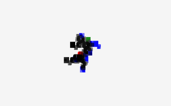 Cc1ccncc1-c1cc2cc(NC(=O)C3C(CC#N)C3CN(C)C)ncc2c(N)c1F